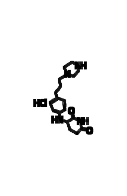 Cl.O=C1CCC(Nc2ccc(CCCN3CCNCC3)cc2)C(=O)N1